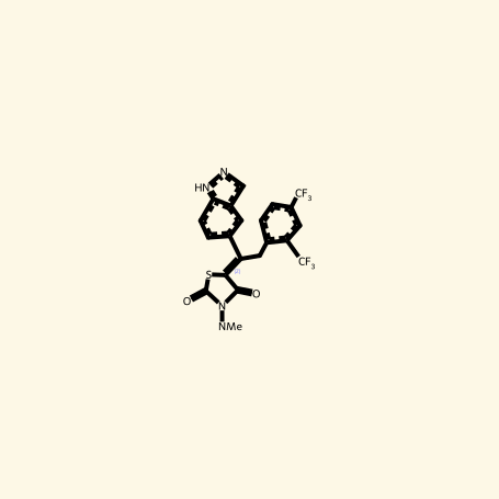 CNN1C(=O)S/C(=C(/Cc2ccc(C(F)(F)F)cc2C(F)(F)F)c2ccc3[nH]ncc3c2)C1=O